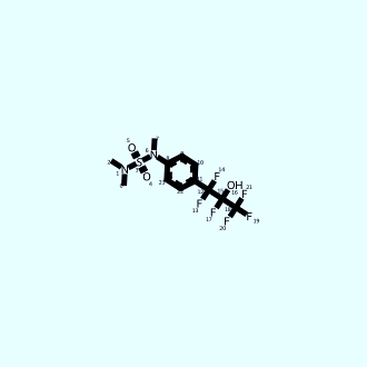 CN(C)S(=O)(=O)N(C)c1ccc(C(F)(F)C(O)(F)C(F)(F)F)cc1